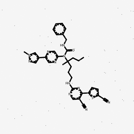 CCCC(C)(CCCNc1ncc(C#N)c(-c2ccc(C#N)s2)n1)N(C(=O)NCc1ccccc1)c1cnc(-c2cnn(C)c2)cn1